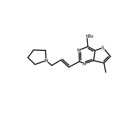 Cc1csc2c(C(C)(C)C)nc(/C=C/CN3CCCC3)nc12